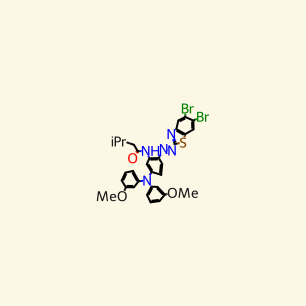 COc1cccc(N(c2cccc(OC)c2)c2ccc(N=Nc3nc4cc(Br)c(Br)cc4s3)c(NC(=O)CC(C)C)c2)c1